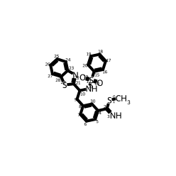 CSC(=N)c1cccc(CC(NS(=O)(=O)c2ccccc2)c2nc3ccccc3s2)c1